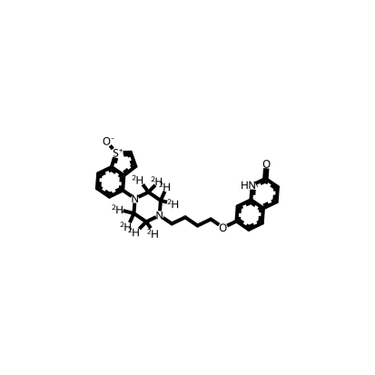 [2H]C1([2H])N(CCCCOc2ccc3ccc(=O)[nH]c3c2)C([2H])([2H])C([2H])([2H])N(c2cccc3c2cc[s+]3[O-])C1([2H])[2H]